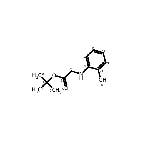 CC(C)(C)OC(=O)CNc1ccccc1O